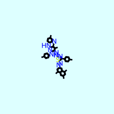 Cc1ccc(Nc2nc(Nc3ccc(C)cc3)c(N=Nc3nc(-c4ccc(C)cc4)c(N=Nc4cc(C)c5cc(C)cc(C)c5c4)s3)c(C)c2C#N)cc1